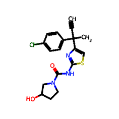 C#CC(C)(c1ccc(Cl)cc1)c1csc(NC(=O)N2CCC(O)C2)n1